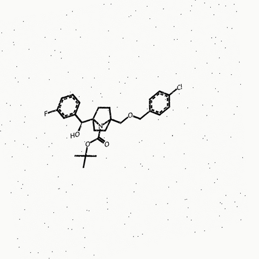 CC(C)(C)OC(=O)N1C2(COCc3ccc(Cl)cc3)CCC1([C@@H](O)c1cccc(F)c1)CC2